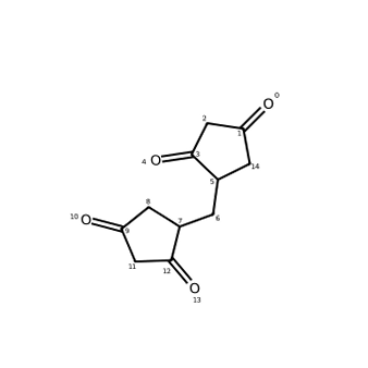 O=C1CC(=O)C(CC2CC(=O)CC2=O)C1